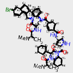 CN[C@@H](C)C(=O)N[C@H]1CN(C(=O)c2ccc(C(=O)N[C@@H]3CN[C@H](C(=O)N(C(=O)[C@@H](NC(=O)[C@H](C)NC)C4CCCCC4)C4CCCCC4)C3)cc2)c2ccccc2N(Cc2c(OC)ccc3cc(Br)ccc23)C1=O